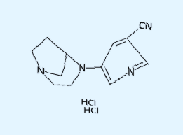 Cl.Cl.N#Cc1cncc(N2CCN3CCC2C3)c1